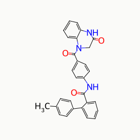 Cc1ccc(-c2ccccc2C(=O)Nc2ccc(C(=O)N3CC(=O)Nc4ccccc43)cc2)cc1